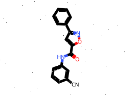 N#Cc1cccc(NC(=O)c2cc(-c3ccccc3)no2)c1